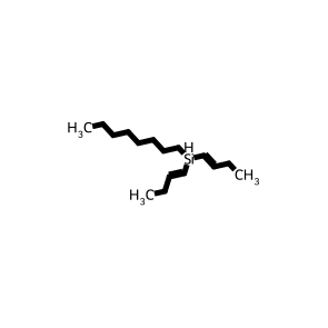 CC/C=C/[SiH](/C=C/CC)CCCCCCCC